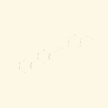 C/C=C/C1COC(C#Cc2ccc(-c3ccc(F)cc3)cc2)OC1